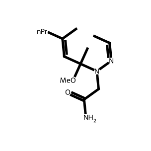 C/C=N\N(CC(N)=O)C(C)(/C=C(\C)CCC)OC